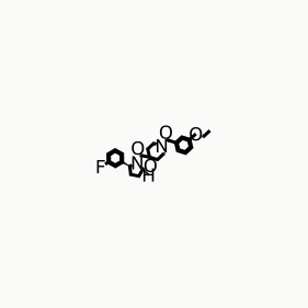 CCOc1cccc(C(=O)N2CCC3(CC2)O[C@@H]2CC[C@@H](c4cccc(F)c4)N2C3=O)c1